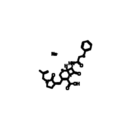 C=C(C)CN1CCC(=CC2=C(C(=O)O)N3C(=O)[C@@H](NC(=O)CSc4ccccc4)[C@H]3SC2)C1=O.[Na]